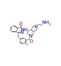 Cc1ccc(Cc2n[nH]c(=O)c3ccccc23)cc1C(=O)N1CCC2CN(CCN)CC2C1